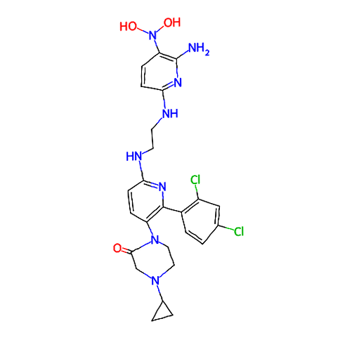 Nc1nc(NCCNc2ccc(N3CCN(C4CC4)CC3=O)c(-c3ccc(Cl)cc3Cl)n2)ccc1N(O)O